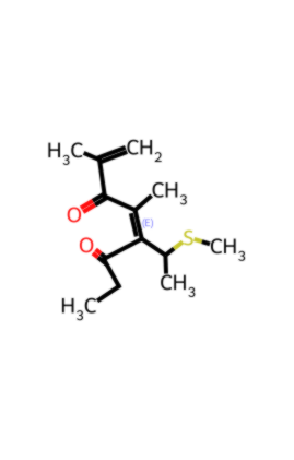 C=C(C)C(=O)/C(C)=C(\C(=O)CC)C(C)SC